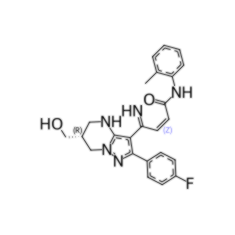 Cc1ccccc1NC(=O)/C=C\C(=N)c1c(-c2ccc(F)cc2)nn2c1NC[C@@H](CO)C2